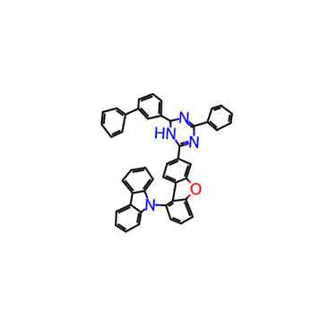 c1ccc(C2=NC(c3cccc(-c4ccccc4)c3)NC(c3ccc4c(c3)oc3cccc(-n5c6ccccc6c6ccccc65)c34)=N2)cc1